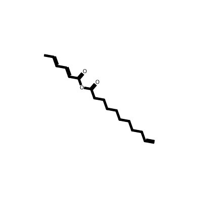 C=CCCCCCCCCC(=O)OC(=O)/C=C/C=C/C